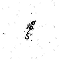 NC(=O)c1c(Nc2ccc(I)cc2F)cc(F)cc1OCCC(O)CN1CCOCC1